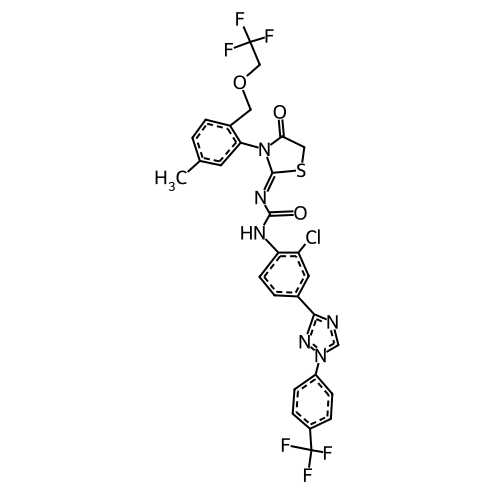 Cc1ccc(COCC(F)(F)F)c(N2C(=O)CSC2=NC(=O)Nc2ccc(-c3ncn(-c4ccc(C(F)(F)F)cc4)n3)cc2Cl)c1